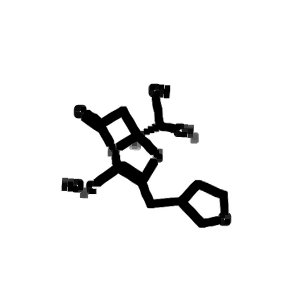 CC(O)[C@@]12CC(=O)N1C(C(=O)O)=C(CC1CCOC1)S2